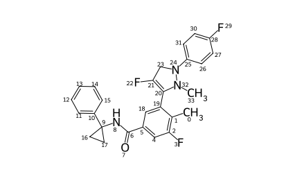 Cc1c(F)cc(C(=O)NC2(c3ccccc3)CC2)cc1C1=C(F)CN(c2ccc(F)cc2)N1C